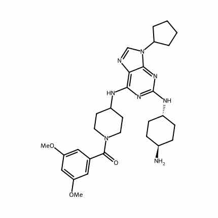 COc1cc(OC)cc(C(=O)N2CCC(Nc3nc(N[C@H]4CC[C@H](N)CC4)nc4c3ncn4C3CCCC3)CC2)c1